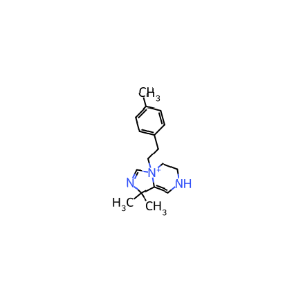 Cc1ccc(CC[N+]23C=NC(C)(C)C2=CNCC3)cc1